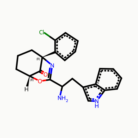 NC(Cc1c[nH]c2ccccc12)C1=N[C@@]2(c3ccccc3Cl)CCC[C@@H](O1)C2=O